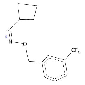 FC(F)(F)c1cccc(CO/N=[C]\C2CCC2)c1